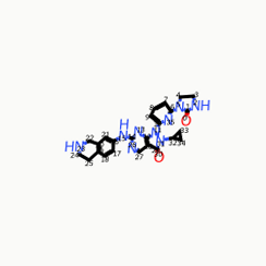 O=C1NCCN1c1cccc(-n2c3nc(Nc4ccc5c(c4)CNCC5)ncc3c(=O)n2C2CC2)n1